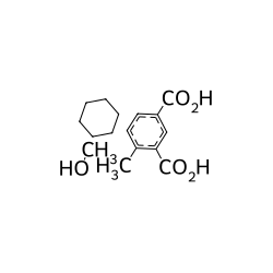 C1CCCCC1.CO.Cc1ccc(C(=O)O)cc1C(=O)O